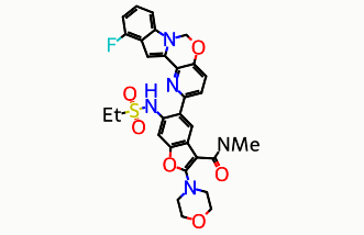 CCS(=O)(=O)Nc1cc2oc(N3CCOCC3)c(C(=O)NC)c2cc1-c1ccc2c(n1)-c1cc3c(F)cccc3n1CO2